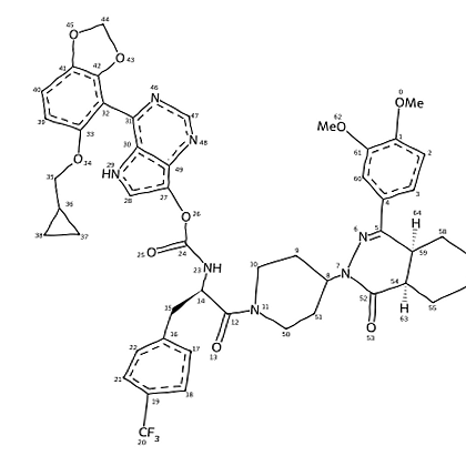 COc1ccc(C2=NN(C3CCN(C(=O)[C@@H](Cc4ccc(C(F)(F)F)cc4)NC(=O)Oc4c[nH]c5c(-c6c(OCC7CC7)ccc7c6OCO7)ncnc45)CC3)C(=O)[C@@H]3CCCC[C@H]23)cc1OC